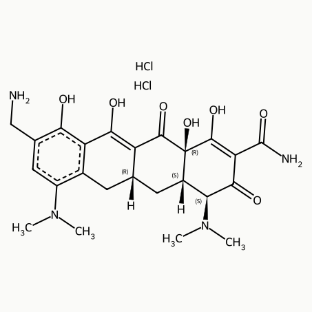 CN(C)c1cc(CN)c(O)c2c1C[C@H]1C[C@H]3[C@H](N(C)C)C(=O)C(C(N)=O)=C(O)[C@@]3(O)C(=O)C1=C2O.Cl.Cl